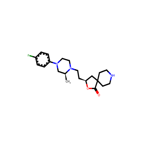 C[C@H]1CN(c2ccc(F)cc2)CCN1CC[C@H]1CC2(CCNCC2)C(=O)O1